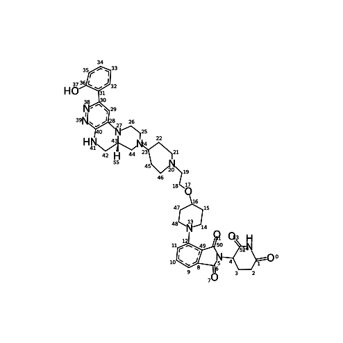 O=C1CCC(N2C(=O)c3cccc(N4CCC(OCCN5CCC(N6CCN7c8cc(-c9ccccc9O)nnc8NC[C@H]7C6)CC5)CC4)c3C2=O)C(=O)N1